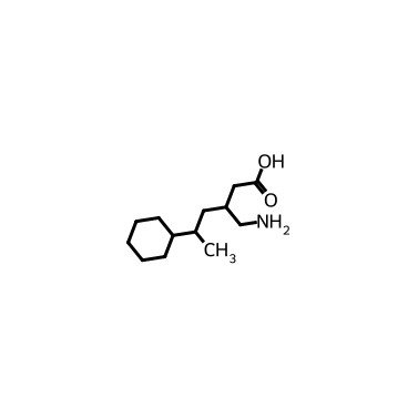 CC(CC(CN)CC(=O)O)C1CCCCC1